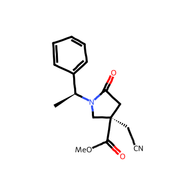 COC(=O)[C@]1(CC#N)CC(=O)N([C@@H](C)c2ccccc2)C1